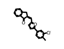 Cc1ccc(-c2ccc(C=C3Cc4ccccc4C3=O)o2)cc1Cl